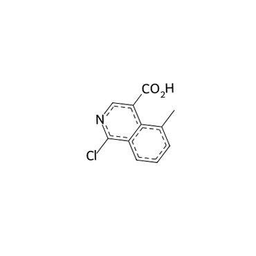 Cc1cccc2c(Cl)ncc(C(=O)O)c12